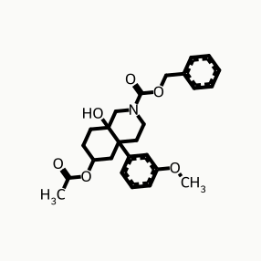 COc1cccc(C23CCN(C(=O)OCc4ccccc4)CC2(O)CCC(OC(C)=O)C3)c1